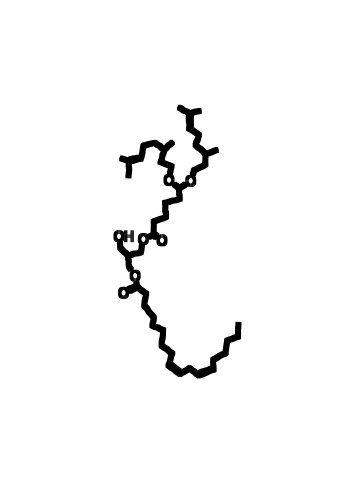 CCCCC/C=C\C/C=C\CCCCCCCC(=O)OCC(CO)COC(=O)CCCCC(OCCC(C)CCC=C(C)C)OCCC(C)CCC=C(C)C